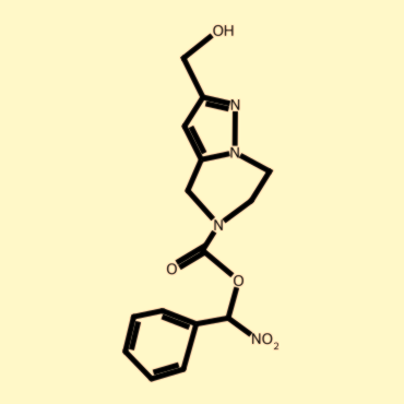 O=C(OC(c1ccccc1)[N+](=O)[O-])N1CCn2nc(CO)cc2C1